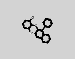 Clc1cccc(Br)c1Oc1ccc2ccccc2c1-c1ccccc1